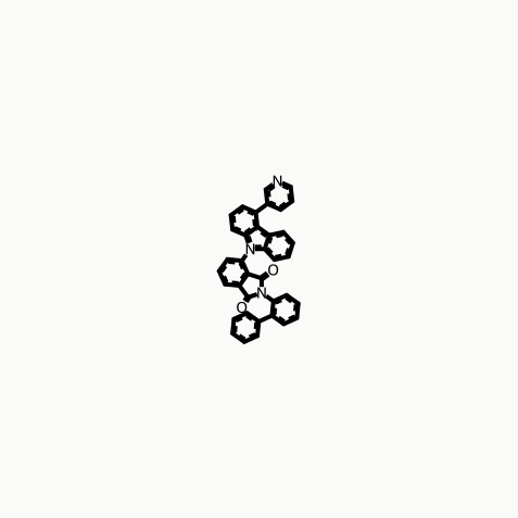 O=C1c2cccc(-n3c4ccccc4c4c(-c5cccnc5)cccc43)c2C(=O)N1c1ccccc1-c1ccccc1